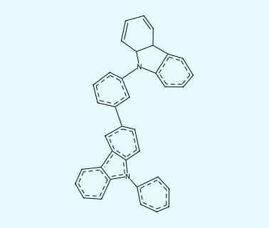 C1=CC2c3ccccc3N(c3cccc(-c4ccc5c(c4)c4ccccc4n5-c4ccccc4)c3)C2C=C1